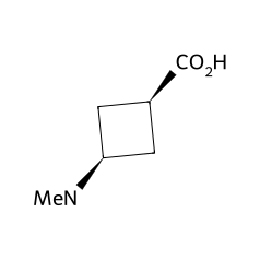 CN[C@H]1C[C@@H](C(=O)O)C1